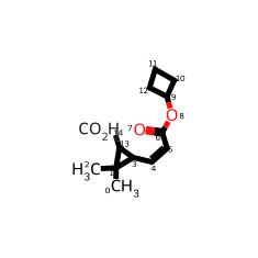 CC1(C)C(/C=C\C(=O)OC2CCC2)C1C(=O)O